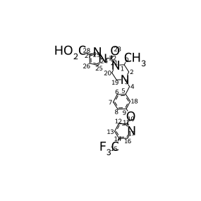 CC1CN(Cc2cccc(Oc3ccc(C(F)(F)F)cn3)c2)CCN1C(=O)n1ccc(C(=O)O)n1